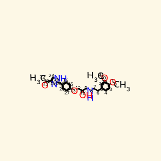 COc1ccc(CCNCC(O)COc2ccc(-c3nc(C(C)=O)c[nH]3)cc2)cc1OC